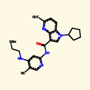 COCCNc1cc(NC(=O)c2cn(C3CCCC3)c3ccc(C=O)nc23)ncc1C#N